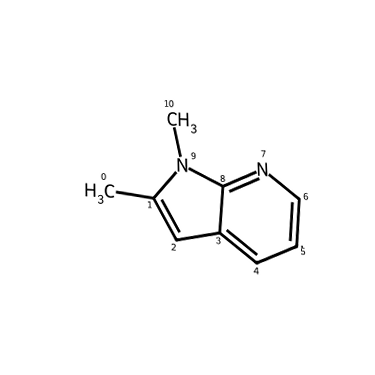 Cc1cc2c[c]cnc2n1C